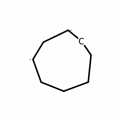 [CH]1C[CH]CCCCC1